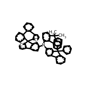 CC1(C)c2ccccc2-c2c(N(c3ccc4c(c3)C(c3ccccc3)(c3ccccc3)c3ccccc3-4)c3ccc4c(c3)C3(c5ccccc5-c5ccccc5-c5ccccc53)c3ccccc3-4)cccc21